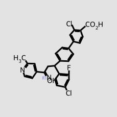 Cc1cc(/C(CC(c2ccc(-c3ccc(C(=O)O)c(Cl)c3)cc2)c2ccc(Cl)cc2F)=N/O)ccn1